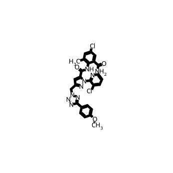 COc1ccc(-c2nnn(Cc3cc(C(=O)Nc4c(C)cc(Cl)cc4C(N)=O)n(-c4ncccc4Cl)n3)n2)cc1